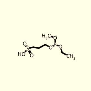 CCOP(OC)OCCCS(=O)(=O)O